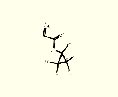 C=CC(=O)OC1(F)C(F)(F)C1(F)F